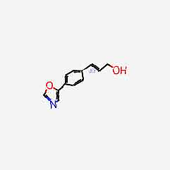 OC/C=C/c1ccc(-c2cnco2)cc1